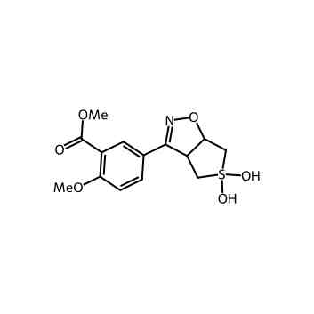 COC(=O)c1cc(C2=NOC3CS(O)(O)CC23)ccc1OC